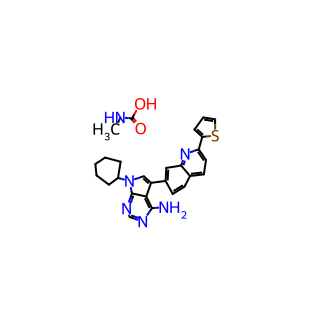 CNC(=O)O.Nc1ncnc2c1c(-c1ccc3ccc(-c4cccs4)nc3c1)cn2C1CCCCC1